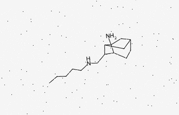 CCCCCNCC1C2CCC3CC1C2(N)C3